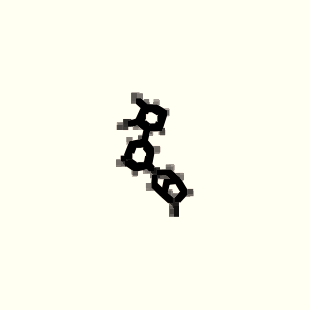 Fc1cccc(-c2cncc(N3CC4CNC(C4)C3)c2)c1F